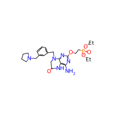 CCOP(=O)(CCOc1nc(N)c2c(n1)N(Cc1cccc(CN3CCCC3)c1)CC(=O)N2)OCC